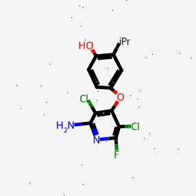 CC(C)c1cc(Oc2c(Cl)c(N)nc(F)c2Cl)ccc1O